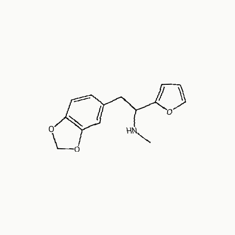 CNC(Cc1ccc2c(c1)OCO2)c1ccco1